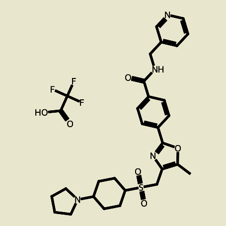 Cc1oc(-c2ccc(C(=O)NCc3cccnc3)cc2)nc1CS(=O)(=O)C1CCC(N2CCCC2)CC1.O=C(O)C(F)(F)F